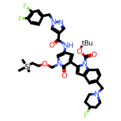 CC(C)(C)OC(=O)n1c(-c2cc(NC(=O)c3cnn(Cc4ccc(F)c(F)c4)c3)cn(COCC[Si](C)(C)C)c2=O)cc2cc(CN3CCC(F)CC3)ccc21